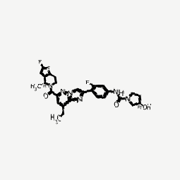 CCc1cc(C(=O)N2CCc3sc(F)cc3[C@H]2C)nn2cc(-c3ccc(NC(=O)N4CC[C@@H](O)C4)cc3F)nc12